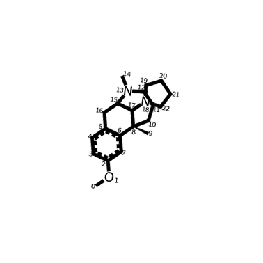 COc1ccc2c(c1)[C@@]1(C)CCCN(C)C(C2)C1N1CCCC1